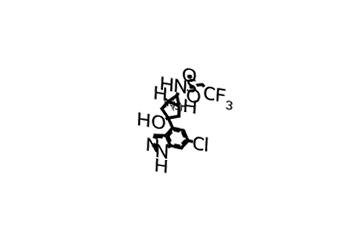 O=S(=O)(CC(F)(F)F)NC1[C@H]2CC(O)(c3cc(Cl)cc4[nH]ncc34)C[C@@H]12